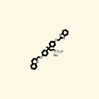 CC(CCC(=O)O)(c1ccc(OCc2ccc3ccccc3n2)cc1)c1ccc(OCc2nc3ccccc3s2)cc1.[Na]